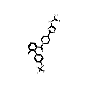 Cc1cccc(C(=O)N2CCC(c3nc(NC(=O)O)cs3)CC2)c1-c1ccc(OC(F)(F)F)cc1